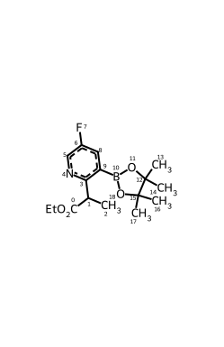 CCOC(=O)C(C)c1ncc(F)cc1B1OC(C)(C)C(C)(C)O1